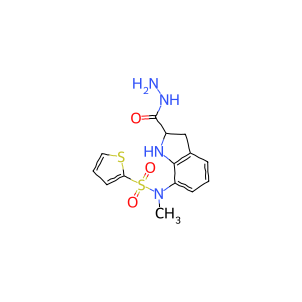 CN(c1cccc2c1NC(C(=O)NN)C2)S(=O)(=O)c1cccs1